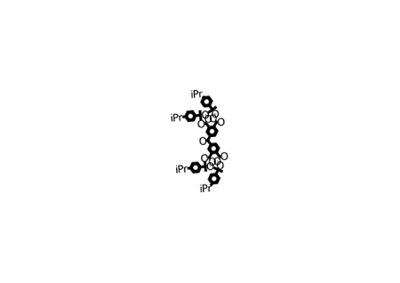 CC(C)c1ccc(C(C)(C)OOC(=O)c2ccc(C(=O)c3ccc(C(=O)OOC(C)(C)c4ccc(C(C)C)cc4)c(C(=O)OOC(C)(C)c4ccc(C(C)C)cc4)c3)cc2C(=O)OOC(C)(C)c2ccc(C(C)C)cc2)cc1